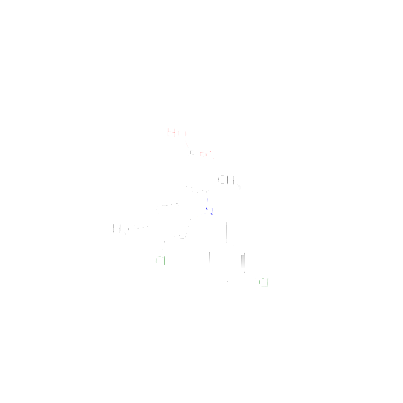 Cc1cc2c(CC(=O)O)c(C)n(Cc3cccc(Cl)c3)c2cc1Cl